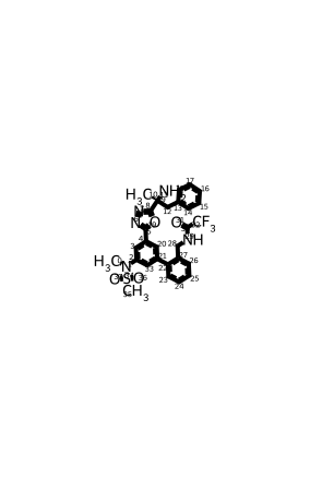 CN(c1cc(-c2nnc([C@](C)(N)Cc3ccccc3)o2)cc(-c2ccccc2CNC(=O)C(F)(F)F)c1)S(C)(=O)=O